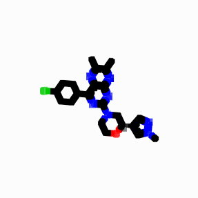 Cc1nc2nc(N3CCO[C@@H](c4cnn(C)c4)C3)nc(C3CCC(Cl)CC3)c2nc1C